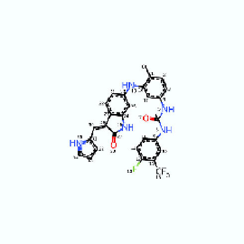 Cc1ccc(NC(=O)Nc2ccc(F)c(C(F)(F)F)c2)cc1Nc1ccc2c(c1)NC(=O)/C2=C\c1ccc[nH]1